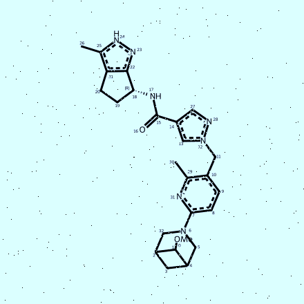 COC1C2CC1CN(c1ccc(Cn3cc(C(=O)N[C@@H]4CCc5c4n[nH]c5C)cn3)c(C)n1)C2